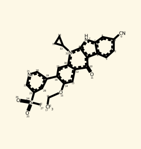 N#Cc1ccc2c(c1)[nH]c1c2c(=O)c2cc(OCC(F)(F)F)c(-c3cncc(S(=O)(=O)F)c3)cc2n1C1CC1